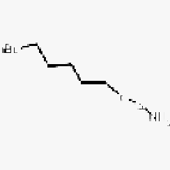 CCCCCCCCCCSN